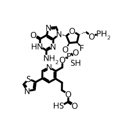 Nc1nc2c(ncn2[C@@H]2O[C@H](COP)[C@@H](F)[C@H]2OP(=O)(S)OCc2ncc(-c3cncs3)cc2CCOC(=O)S)c(=O)[nH]1